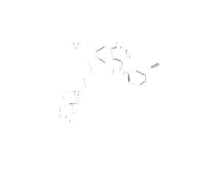 C#Cc1cccc(Nc2ncnc3cc(OC)c(OCCCN4CCC5(CCN(C)C5)C4)cc23)c1